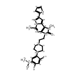 Cn1c(=O)n(CCN2CCN(c3cc([S@+](C)[O-])c(F)cc3F)CC2)c2nc(N)n3nc(-c4ccco4)cc3c21